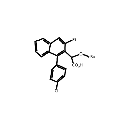 CCCCOC(C(=O)O)c1c(CC)cc2ccccc2c1-c1ccc(Cl)cc1